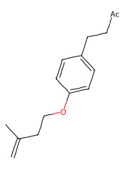 C=C(C)CCOc1ccc(CCC(C)=O)cc1